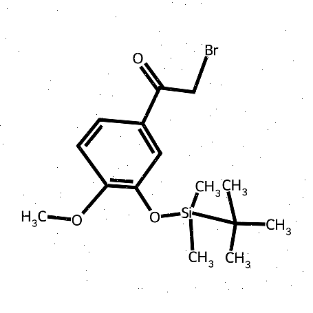 COc1ccc(C(=O)CBr)cc1O[Si](C)(C)C(C)(C)C